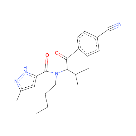 CCCCN(C(=O)c1cc(C)n[nH]1)C(C(=O)c1ccc(C#N)cc1)C(C)C